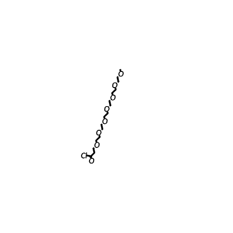 COCCOCCOCCOCCOCCOCCOCCC(=O)Cl